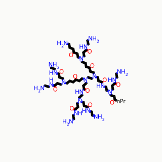 CCCC(=O)CCN(CCNC(=O)CCN(CCC(=O)CCCN(CCC(=O)CCCN)CCC(=O)NCCN)CCN(CCC(=O)CCCN(CCC(=O)NCCN)CCC(=O)NCCN)CCC(=O)NCCN(CCC(=O)NCCN)CCC(=O)NCCN)CCC(=O)NCCN